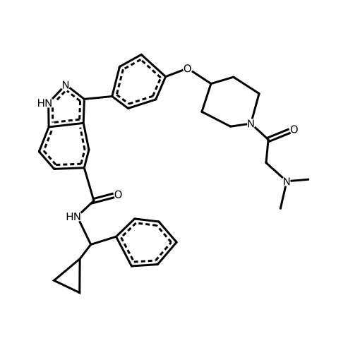 CN(C)CC(=O)N1CCC(Oc2ccc(-c3n[nH]c4ccc(C(=O)NC(c5ccccc5)C5CC5)cc34)cc2)CC1